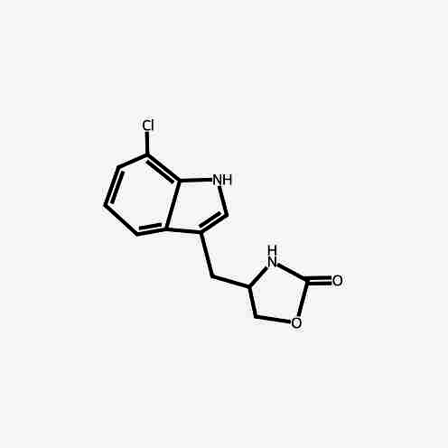 O=C1NC(Cc2c[nH]c3c(Cl)cccc23)CO1